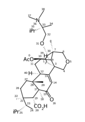 CC(=O)O[C@@H]1C[C@@]23COC[C@@](C)([C@@H]2CC[C@H]2C3=CC(=O)[C@@]3(C)[C@H](C(=O)O)[C@@](C)([C@H](C)C(C)C)CC[C@]23C)[C@H]1OC[C@@](C)(C(C)C)N(C)C